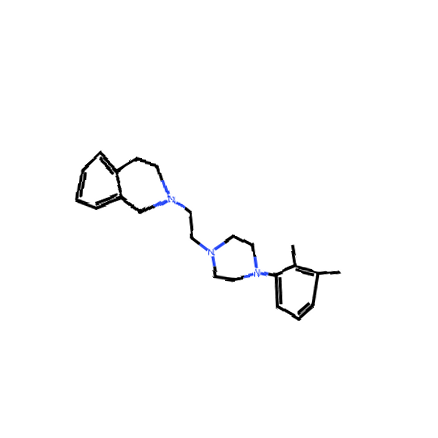 Cc1cccc(N2CCN(CCN3CCc4ccccc4C3)CC2)c1C